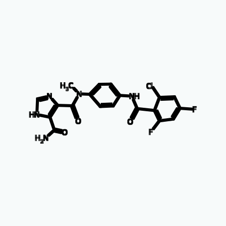 CN(C(=O)c1nc[nH]c1C(N)=O)c1ccc(NC(=O)c2c(F)cc(F)cc2Cl)cc1